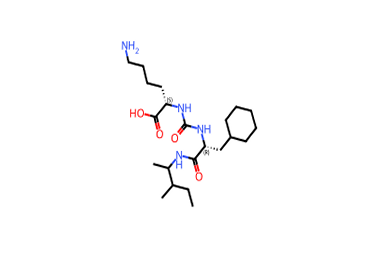 CCC(C)C(C)NC(=O)[C@@H](CC1CCCCC1)NC(=O)N[C@@H](CCCCN)C(=O)O